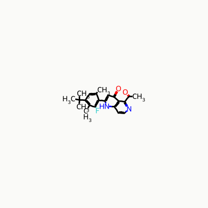 CC(=O)c1nccc2[nH]c(-c3c(C)cc(C(C)(C)C)c(C)c3F)cc(=O)c12